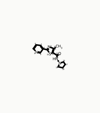 Cc1nc(-c2cccnc2)sc1C(=O)NN1CCCC1